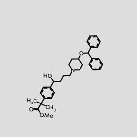 COC(=O)C(C)(C)c1ccc(C(O)CCCN2CCC(OC(c3ccccc3)c3ccccc3)CC2)cc1